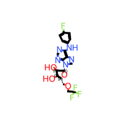 O[C@@H]1[C@H](O)[C@@H](COCC(F)(F)F)O[C@H]1n1cnc2c(Nc3ccc(F)cc3)ncnc21